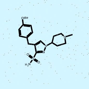 COc1ccc(Cc2cn(C3CCN(C)CC3)nc2S(N)(=O)=O)cc1